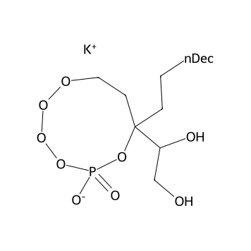 CCCCCCCCCCCCC1(C(O)CO)CCOOOOP(=O)([O-])O1.[K+]